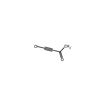 [CH2]C(=O)C#CCl